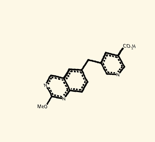 COc1ncc2cc(Cc3cncc(C(=O)O)c3)ccc2n1